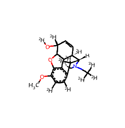 [2H]OC1([2H])C=C[C@@]2([2H])[C@@H]3N(C([2H])([2H])[2H])CC[C@@]24c2c(c(OC)c([2H])c([2H])c2C3([2H])[2H])OC14